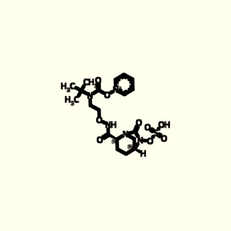 CC(C)(C)N(CCONC(=O)[C@@H]1CC[C@@H]2CN1C(=O)N2OS(=O)(=O)O)C(=O)O[n+]1ccccc1